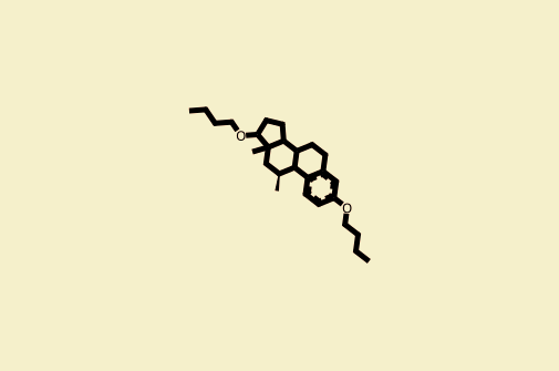 CCCCOc1ccc2c(c1)CCC1C2[C@@H](C)CC2(C)C(OCCCC)CCC12